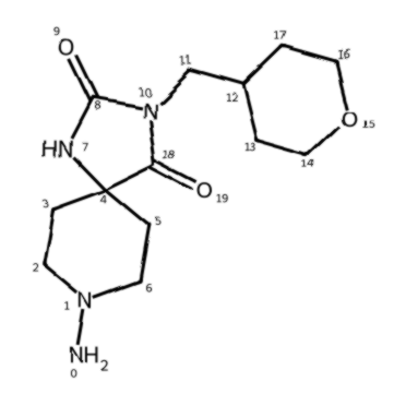 NN1CCC2(CC1)NC(=O)N(CC1CCOCC1)C2=O